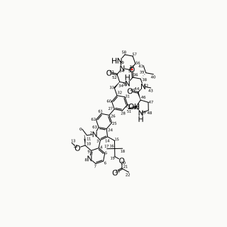 CCn1c(-c2cccnc2[C@H](C)OC)c(CC(C)(C)COC(C)=O)c2cc(-c3cc(O)cc(C[C@H](NC(=O)[C@H](C(C)C)N(C)C(=O)[C@H]4CCN[C@H]4C)C(=O)N4CCCCN4)c3)ccc21